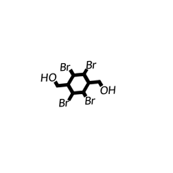 OCC1C(Br)C(Br)C(CO)C(Br)C1Br